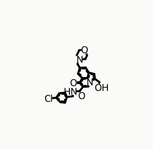 O=C(NCc1ccc(Cl)cc1)c1cn2c(CO)cc3cc(CN4CCOCC4)cc(c1=O)c32